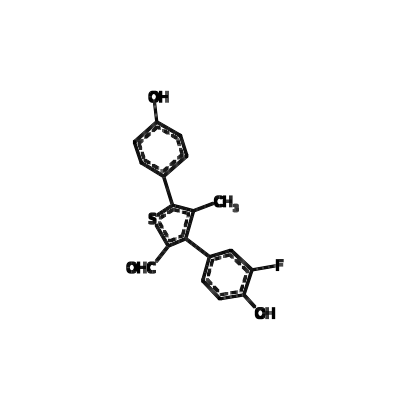 Cc1c(-c2ccc(O)cc2)sc(C=O)c1-c1ccc(O)c(F)c1